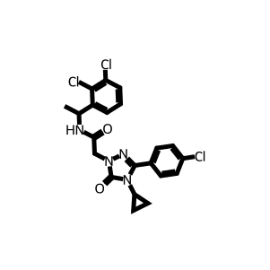 CC(NC(=O)Cn1nc(-c2ccc(Cl)cc2)n(C2CC2)c1=O)c1cccc(Cl)c1Cl